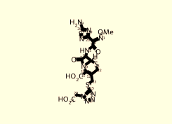 CO/N=C(/C(=O)NC1C(=O)N2C(C(=O)O)=C(CSc3nnnn3CC(=O)O)CS[C@H]12)c1nsc(N)n1